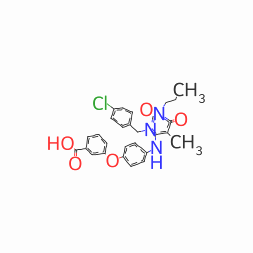 CCCn1c(=O)c(C)c(Nc2ccc(Oc3cccc(C(=O)O)c3)cc2)n(Cc2ccc(Cl)cc2)c1=O